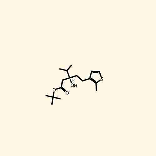 Cc1sccc1CC[C@](O)(CC(=O)OC(C)(C)C)C(C)C